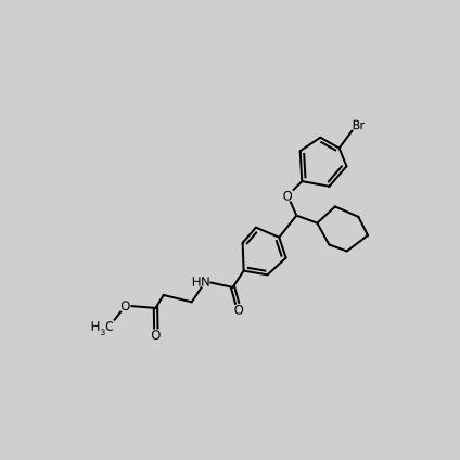 COC(=O)CCNC(=O)c1ccc(C(Oc2ccc(Br)cc2)C2CCCCC2)cc1